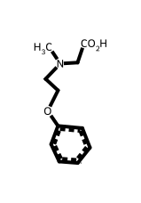 CN(CCOc1cc[c]cc1)CC(=O)O